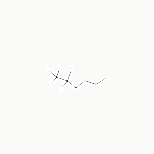 [CH2]CCCC(F)(F)C(F)(F)F